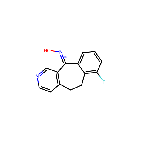 O/N=C1\c2cnccc2CCc2c(F)cccc21